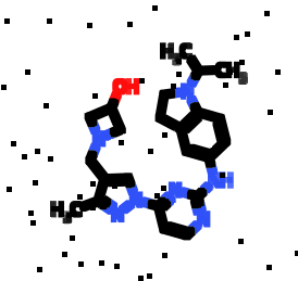 Cc1nn(-c2ccnc(Nc3ccc4c(c3)CCN4C(C)C)n2)cc1CN1CC(O)C1